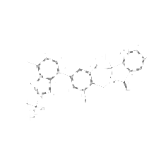 [2H]C1([2H])c2ncccc2C(=O)N1Cc1c(C)cc(-c2ccc(C)c3nn(C([2H])([2H])[2H])cc23)cc1F